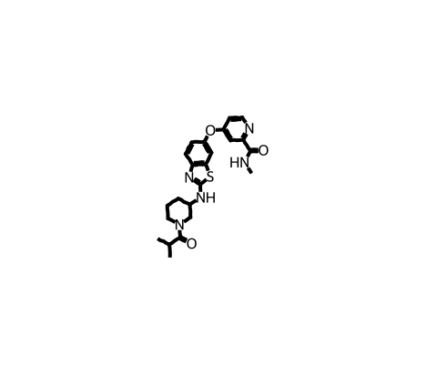 CNC(=O)c1cc(Oc2ccc3nc(NC4CCCN(C(=O)C(C)C)C4)sc3c2)ccn1